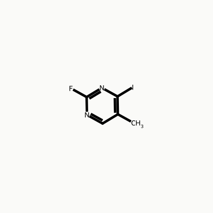 Cc1cnc(F)nc1I